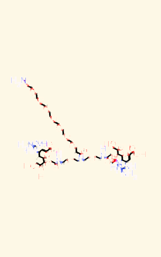 CC(=O)N[C@H]1[C@H]([C@H](OCC(=O)NCCOCCN(CCOCCNC(=O)CO[C@@H]([C@@H]2OC(C(=O)O)=C[C@H](NC(=N)N)[C@H]2C)[C@H](O)CO)C(=O)CCOCCOCCOCCOCCOCCOCCOCCON)[C@H](O)CO)OC(C(=O)O)=C[C@@H]1NC(=N)N